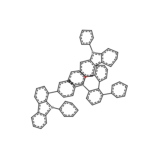 c1ccc(-c2ccccc2-c2c(-c3ccccc3)cccc2N(c2ccc(-c3cccc4c5ccccc5n(-c5ccccc5)c34)cc2)c2ccc3c(c2)c2ccccc2n3-c2ccccc2)cc1